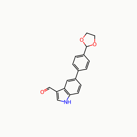 O=Cc1c[nH]c2ccc(-c3ccc(C4OCCO4)cc3)cc12